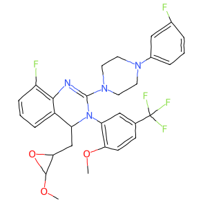 COc1ccc(C(F)(F)F)cc1N1C(N2CCN(c3cccc(F)c3)CC2)=Nc2c(F)cccc2C1CC1OC1OC